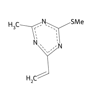 C=Cc1nc(C)nc(SC)n1